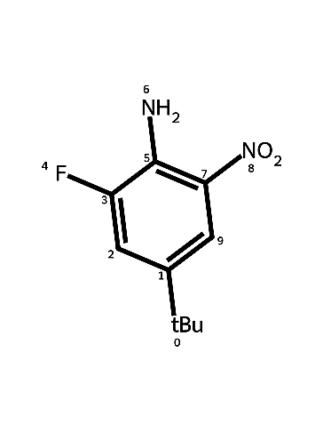 CC(C)(C)c1cc(F)c(N)c([N+](=O)[O-])c1